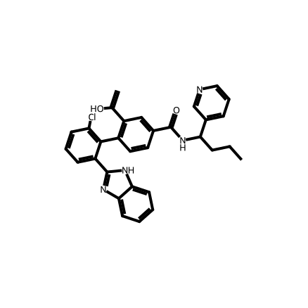 C=C(O)c1cc(C(=O)NC(CCC)c2cccnc2)ccc1-c1c(Cl)cccc1-c1nc2ccccc2[nH]1